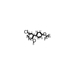 COc1nnc(Cl)cc1-c1ccc(OC(F)F)cc1